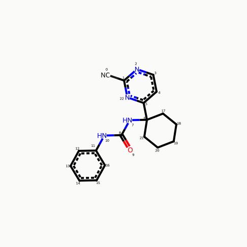 N#Cc1nccc(C2(NC(=O)Nc3ccccc3)CCCCC2)n1